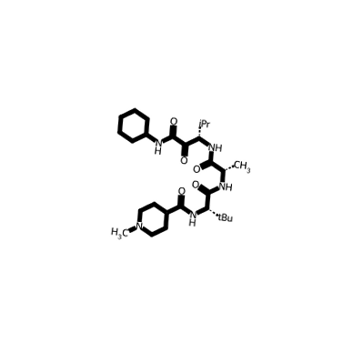 CC(C)[C@H](NC(=O)[C@H](C)NC(=O)[C@@H](NC(=O)C1CCN(C)CC1)C(C)(C)C)C(=O)C(=O)NC1CCCCC1